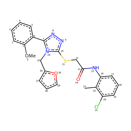 COc1ccccc1-c1nnc(SCC(=O)Nc2cccc(Cl)c2C)n1Cc1ccco1